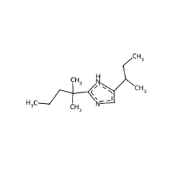 CCCC(C)(C)c1ncc(C(C)CC)[nH]1